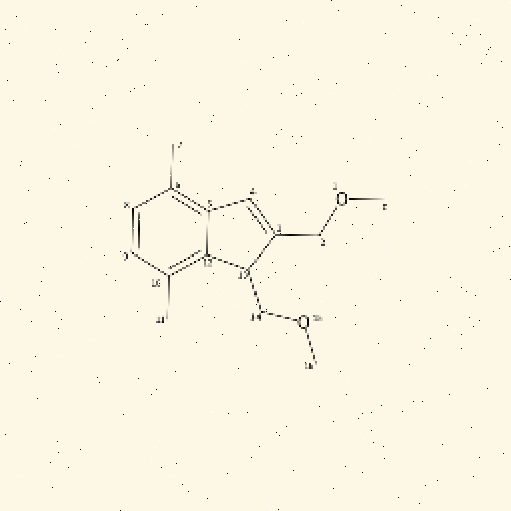 COCC1=Cc2c(C)ccc(C)c2C1COC